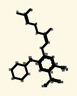 CC(C)=CCCC(C)=CCc1cc(N)c([N+](=O)[O-])cc1OC1CCCCC1